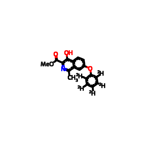 [2H]c1c([2H])c([2H])c(Oc2ccc3c(O)c(C(=O)OC)nc(C)c3c2)c([2H])c1[2H]